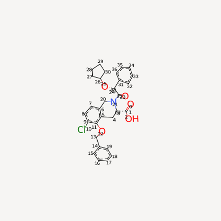 O=C(O)[C@@H]1Cc2c(ccc(Cl)c2OCc2ccccc2)CN1C(=O)[C@H](OC1CCCC1)c1ccccc1